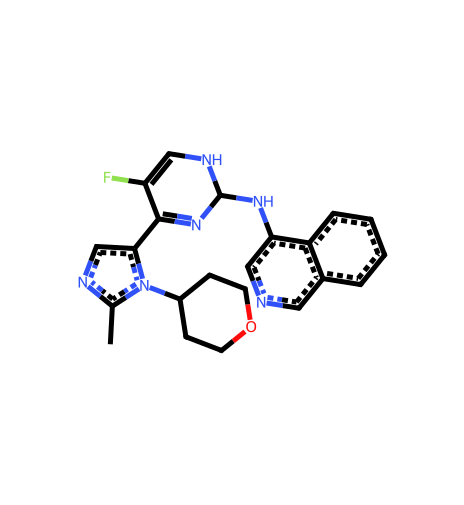 Cc1ncc(C2=NC(Nc3cncc4ccccc34)NC=C2F)n1C1CCOCC1